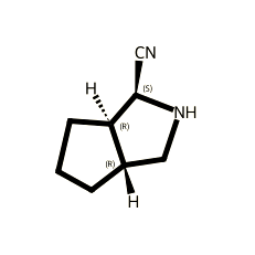 N#C[C@H]1NC[C@@H]2CCC[C@H]21